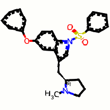 CN1CCC[C@@H]1Cc1cn(S(=O)(=O)c2ccccc2)c2ccc(Oc3ccccc3)cc12